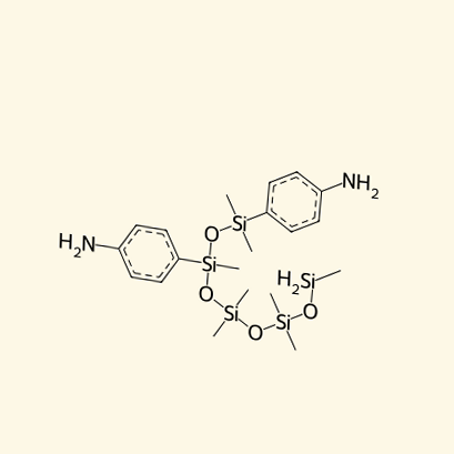 C[SiH2]O[Si](C)(C)O[Si](C)(C)O[Si](C)(O[Si](C)(C)c1ccc(N)cc1)c1ccc(N)cc1